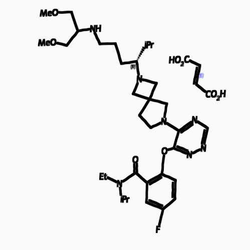 CCN(C(=O)c1cc(F)ccc1Oc1nncnc1N1CCC2(C1)CN([C@H](CCCNC(COC)COC)C(C)C)C2)C(C)C.O=C(O)/C=C/C(=O)O